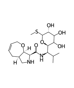 CSC1O[C@H]([C@H](NC(=O)[C@H]2NC[C@H]3CC=CCO[C@H]32)C(C)C)C(O)C(O)[C@H]1O